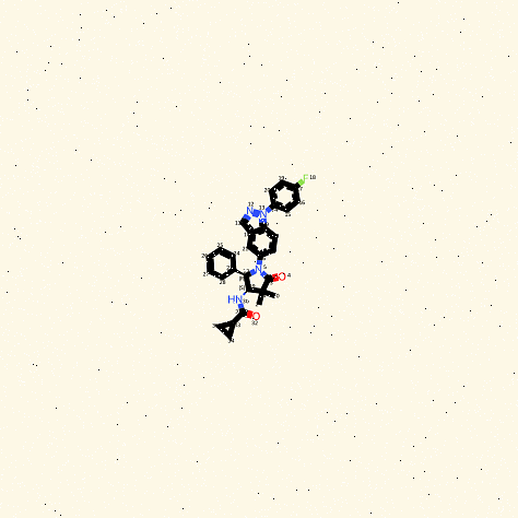 CC1(C)C(=O)N(c2ccc3c(cnn3-c3ccc(F)cc3)c2)[C@H](C2C=CC=CC2)[C@H]1NC(=O)C1CC1